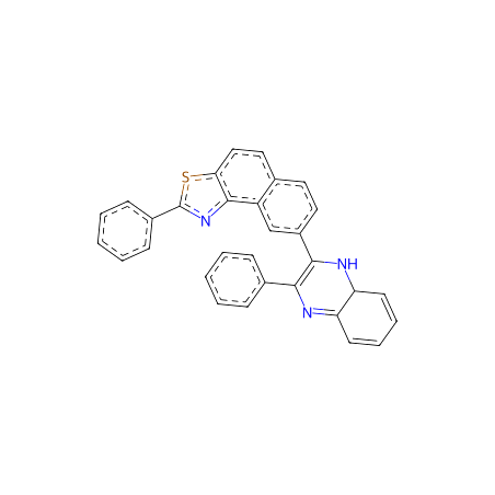 C1=CC2=NC(c3ccccc3)=C(c3ccc4ccc5sc(-c6ccccc6)nc5c4c3)NC2C=C1